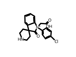 O=C(O)C[N+]1(c2ccc(Cl)cc2)C(=O)C2(CCNCC2)c2ccccc21